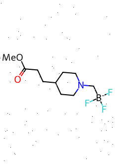 COC(=O)CCC1CCN(C[B-](F)(F)F)CC1